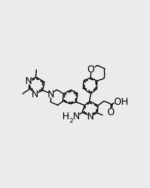 Cc1cc(N2CCc3cc(-c4c(N)nc(C)c(CC(=O)O)c4-c4ccc5c(c4)CCCO5)ccc3C2)nc(C)n1